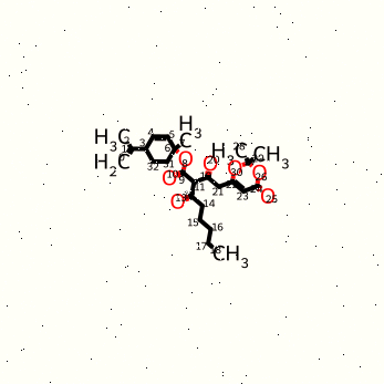 C=C(C)C1C=CC(C)(OC(=O)C(C(=O)CCCCC)C(=O)CC2=CC(=O)OC(C)(C)O2)CC1